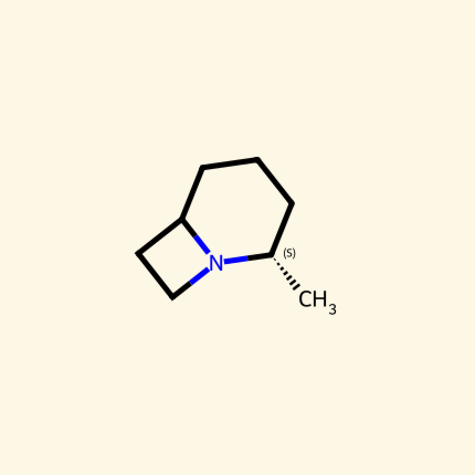 C[C@H]1CCCC2CCN21